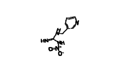 N=C(NCc1cccnc1)N[N+](=O)[O-]